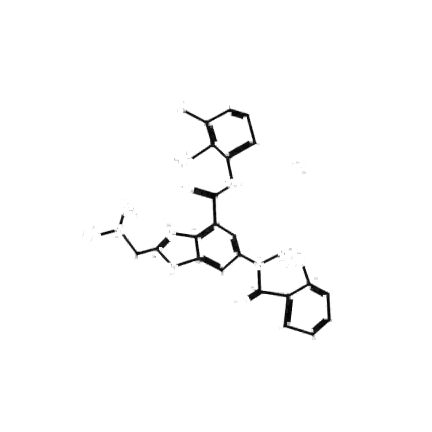 Cc1c(Cl)cccc1NC(=O)c1cc(N(N)C(=O)c2ccccc2C(F)(F)F)cc2[nH]c(CN(C)C)nc12.Cl